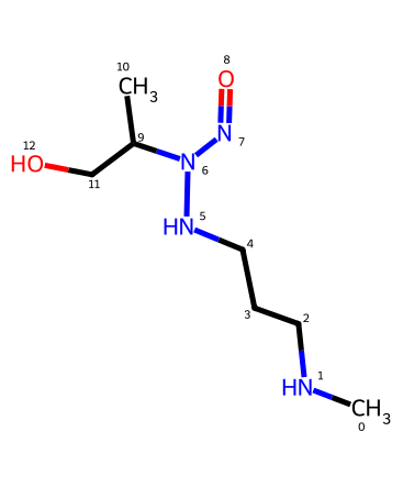 CNCCCNN(N=O)C(C)CO